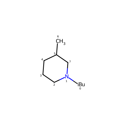 CCC(C)N1CCCC(C)C1